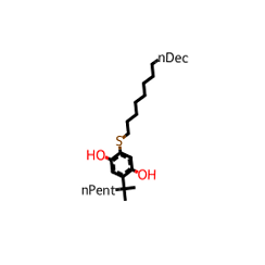 CCCCCCCCCCCCCCCCCCSc1cc(O)c(C(C)(C)CCCCC)cc1O